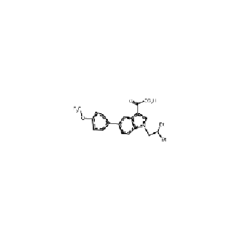 CCC(CC)Cn1cc(C(=O)C(=O)O)c2cc(-c3ccc(OC(F)(F)F)cc3)ccc21